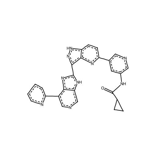 O=C(Nc1cncc(-c2ccc3[nH]nc(-c4nc5c(-c6ccccn6)cncc5[nH]4)c3n2)c1)C1CC1